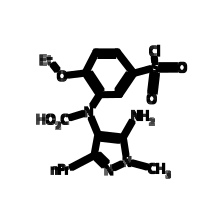 CCCc1nn(C)c(N)c1N(C(=O)O)c1cc(S(=O)(=O)Cl)ccc1OCC